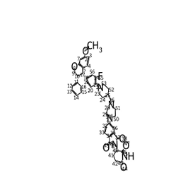 COc1ccc2c(c1)OC[C@@H](c1ccccc1)[C@H]2c1ccc(N2CCC(CN3CCN(c4ccc5c(c4)C(=O)N(C4CCC(=O)NC4=O)C5=O)CC3)CC2)c(F)c1